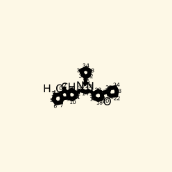 CC1(C)c2ccccc2-c2ccc(-c3cc(-c4ccc5oc6ccccc6c5c4)nc(-c4ccccc4)n3)cc21